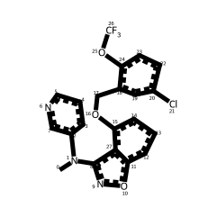 CN(c1cccnc1)c1noc2cccc(OCc3cc(Cl)ccc3OC(F)(F)F)c12